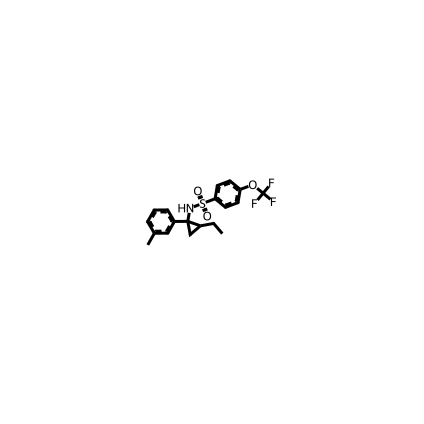 CCC1CC1(NS(=O)(=O)c1ccc(OC(F)(F)F)cc1)c1cccc(C)c1